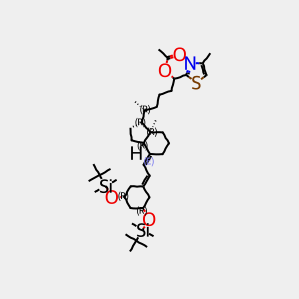 CC(=O)OC(CCC[C@@H](C)[C@H]1CC[C@H]2/C(=C/C=C3C[C@@H](O[Si](C)(C)C(C)(C)C)C[C@H](O[Si](C)(C)C(C)(C)C)C3)CCC[C@]12C)c1nc(C)cs1